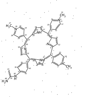 C[n+]1ccc(-c2c3nc(c(-c4cc[n+](C)cc4)c4ccc([nH]4)c(-c4cc[n+](C)cc4)c4nc(c(-c5ccc(NC(N)=S)cc5)c5ccc2[nH]5)C=C4)C=C3)cc1